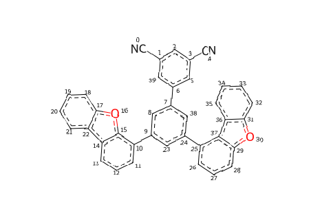 N#Cc1cc(C#N)cc(-c2cc(-c3cccc4c3oc3ccccc34)cc(-c3cccc4oc5ccccc5c34)c2)c1